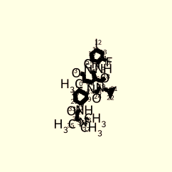 Cc1c(=O)n(C)c(Nc2ccc(I)cc2F)c2c(=O)n(C3CC3)c(=O)n(-c3cccc(NC(=O)[C@H](C)N(C)C)c3)c12